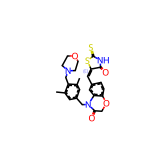 Cc1cc(CN2C(=O)COc3ccc(/C=C4/SC(=S)NC4=O)cc32)cc(C)c1CN1CCOCC1